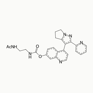 CC(=O)NCCNC(=O)Oc1ccc2c(-c3c(-c4ccccn4)nn4c3CCC4)ccnc2c1